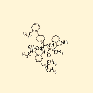 Cc1ccccc1C1CCN(C(=O)N[C@@H](C(=O)Nc2cc(CN(C)C)ccc2C(=O)N(C)C)[C@@H](C)c2c[nH]c3ccccc23)CC1